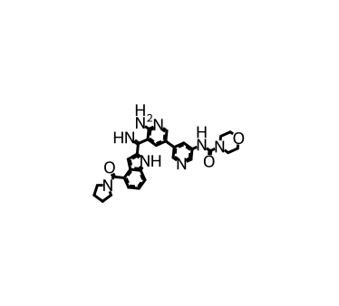 N=C(c1cc2c(C(=O)N3CCCC3)cccc2[nH]1)c1cc(-c2cncc(NC(=O)N3CCOCC3)c2)cnc1N